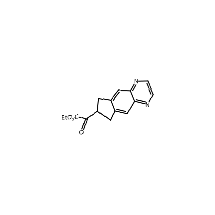 CCOC(=O)C(=O)C1Cc2cc3nccnc3cc2C1